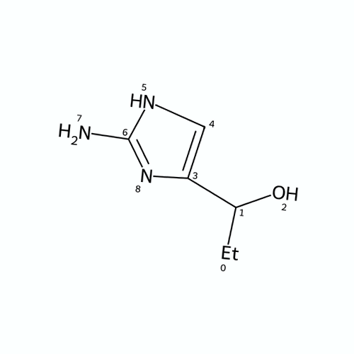 CCC(O)c1c[nH]c(N)n1